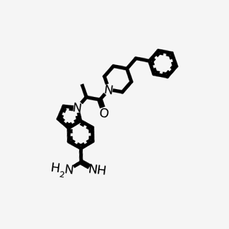 CC(C(=O)N1CCC(Cc2ccccc2)CC1)n1ccc2cc(C(=N)N)ccc21